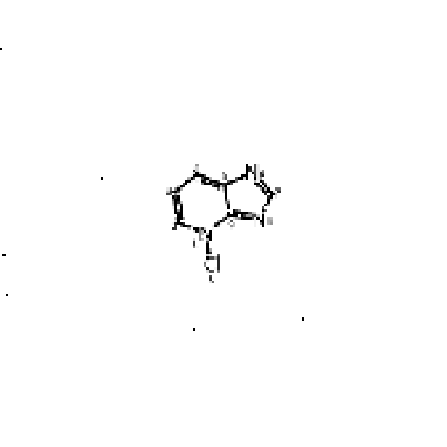 Cln1cccc2ncnc1-2